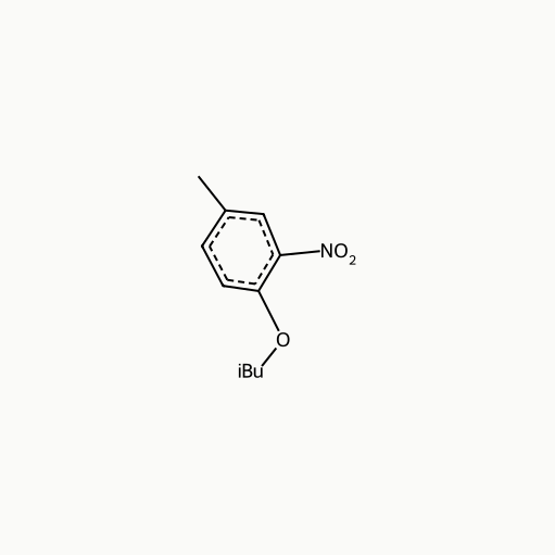 CCC(C)Oc1ccc(C)cc1[N+](=O)[O-]